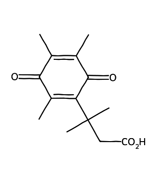 CC1=C(C)C(=O)C(C(C)(C)CC(=O)O)=C(C)C1=O